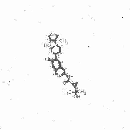 CC(C)(O)[C@@H]1C[C@H]1C(=O)Nc1cc2cc(C3CCN([C@]4(C)COC[C@@H]4O)CC3)c(Cl)cc2cn1